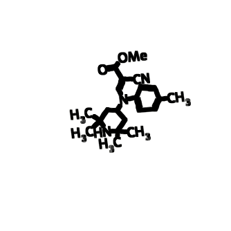 COC(=O)C(C#N)=CN(c1ccc(C)cc1)C1CC(C)(C)NC(C)(C)C1